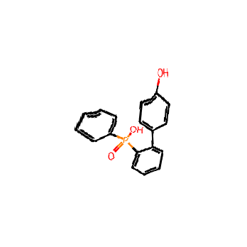 O=P(O)(c1ccccc1)c1ccccc1-c1ccc(O)cc1